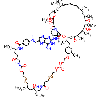 CO[C@H]1C[C@@H]2CC[C@@H](C)[C@@](O)(O2)C(=O)C(=O)N2CCCC[C@H]2C(=O)O[C@H]([C@H](C)C[C@@H]2CC[C@@H](OCCOC(=O)OCCSSCCC(=O)NC[C@H](NC(C)=O)C(=O)C[C@@H](CSSCCOC(=O)NCC(=O)CC[C@H](NC(=O)c3ccc(NCc4cnc5nc(N)[nH]c(=N)c5n4)cc3)C(=O)O)C(=O)O)[C@H](C)C2)CC(=O)[C@H](C)/C=C(\C)[C@@H](O)[C@@H](OC)C(=O)[C@H](C)C[C@H](C)/C=C/C=C/C=C/1C